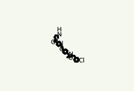 CN[C@H]1CCN(C(=O)c2ccc(COc3ccc(-c4nc(Cc5cccc(Cl)c5)oc4C)cc3)nc2)C1